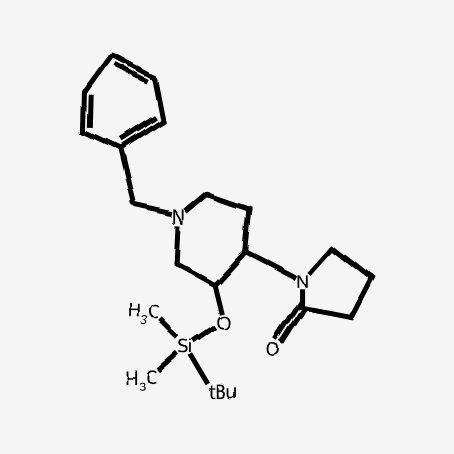 CC(C)(C)[Si](C)(C)OC1CN(Cc2ccccc2)CCC1N1CCCC1=O